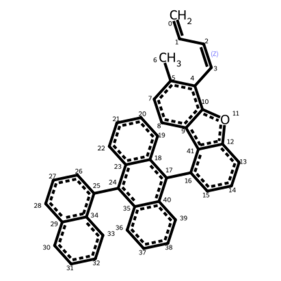 C=C/C=C\c1c(C)ccc2c1oc1cccc(-c3c4ccccc4c(-c4cccc5ccccc45)c4ccccc34)c12